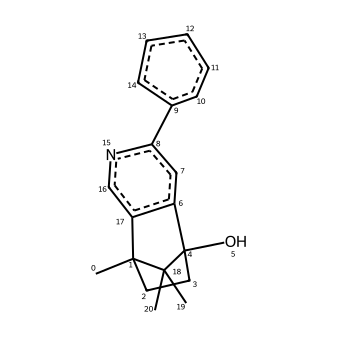 CC12CCC(O)(c3cc(-c4ccccc4)ncc31)C2(C)C